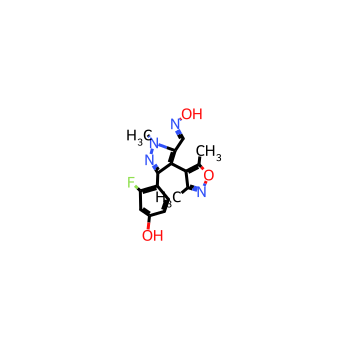 Cc1noc(C)c1-c1c(-c2ccc(O)cc2F)nn(C)c1C=NO